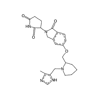 Cc1nc[nH]c1CN1CCCCC1COc1ccc2c(c1)CN(C1CCC(=O)NC1=O)C2=O